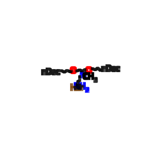 Br.CCCCCCCCCCCCCCOCCC(COCCCCCCCCCCCCCC)N(C)CCCN